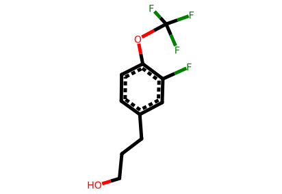 OCCCc1ccc(OC(F)(F)F)c(F)c1